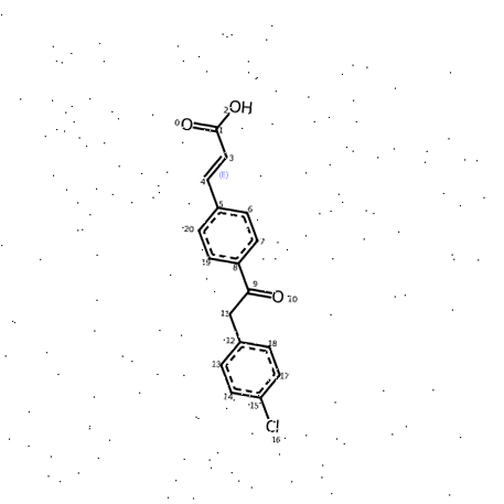 O=C(O)/C=C/c1ccc(C(=O)Cc2ccc(Cl)cc2)cc1